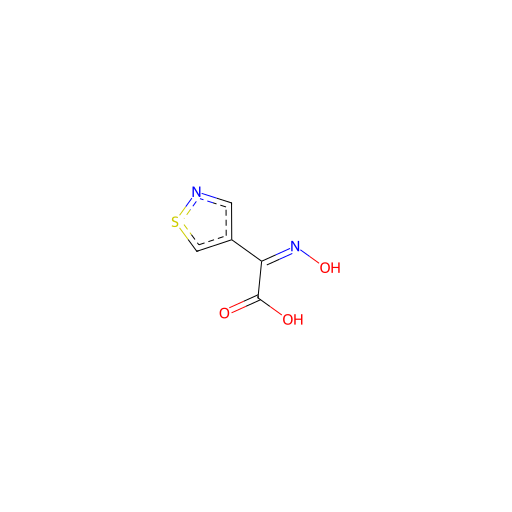 O=C(O)C(=NO)c1cnsc1